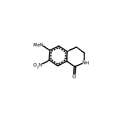 CNc1cc2c(cc1[N+](=O)[O-])C(=O)NCC2